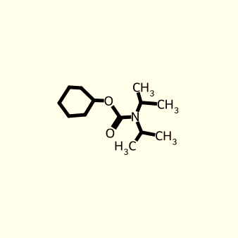 CC(C)N(C(=O)OC1CCCCC1)C(C)C